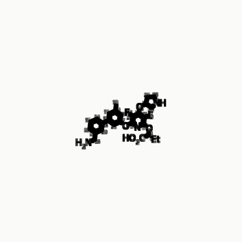 CC[C@@H](Oc1nc(Oc2cc(C)cc(-c3cccc(CN)c3)c2)c(F)c(OC2CCNC2)c1F)C(=O)O